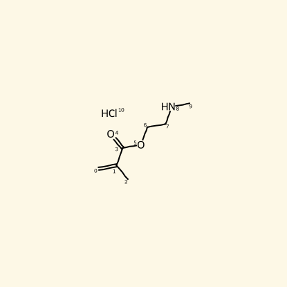 C=C(C)C(=O)OCCNC.Cl